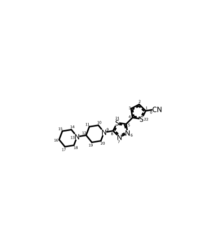 N#Cc1ccc(-c2nnc(N3CCC(N4CCCCC4)CC3)s2)s1